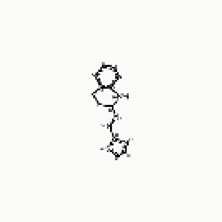 c1ccc2c(c1)CCC(N=Nc1nccs1)N2